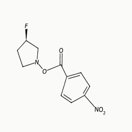 O=C(ON1CC[C@@H](F)C1)c1ccc([N+](=O)[O-])cc1